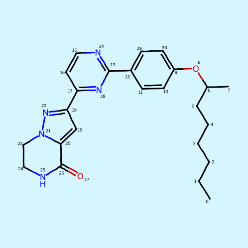 CCCCCCC(C)Oc1ccc(-c2nccc(-c3cc4n(n3)CCNC4=O)n2)cc1